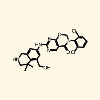 CC1(C)CNCc2cc(Nc3ncc4c(n3)OCN(c3c(Cl)cccc3Cl)C4=O)cc(CO)c21